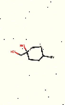 CC(C)C1CCC(O)(CO)CC1